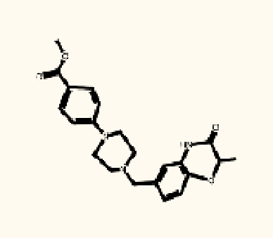 COC(=O)c1ccc(N2CCN(Cc3ccc4c(c3)NC(=O)C(C)O4)CC2)cc1